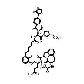 Cc1ncsc1-c1ccc([C@H](C)NC(=O)[C@@H]2C[C@H](CC(=O)O)CN2C(=O)[C@@H](NC(=O)CCCCCc2cccc(OC[C@H](CCC(N)=O)NC(=O)[C@@H]3Cc4cccc5c4N3C(=O)[C@@H](NC(=O)OC(C)(C)C)CC5)c2F)C(C)(C)C)cc1